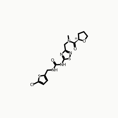 CN(Cc1nsc(NC(=O)NCc2ccc(Cl)s2)n1)C(=O)[C@H]1CCCO1